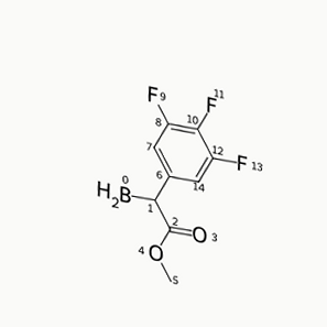 BC(C(=O)OC)c1cc(F)c(F)c(F)c1